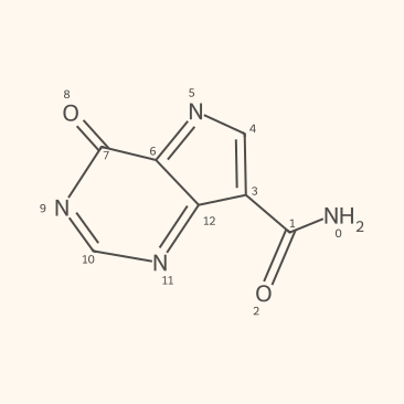 NC(=O)C1=CN=C2C(=O)N=CN=C12